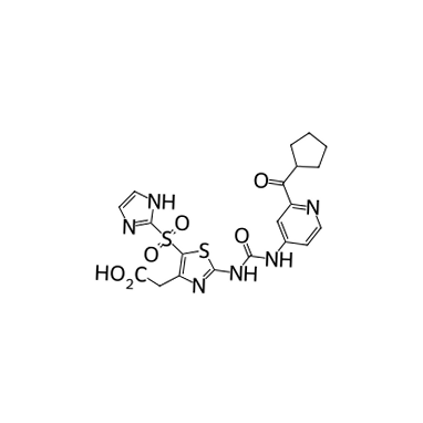 O=C(O)Cc1nc(NC(=O)Nc2ccnc(C(=O)C3CCCC3)c2)sc1S(=O)(=O)c1ncc[nH]1